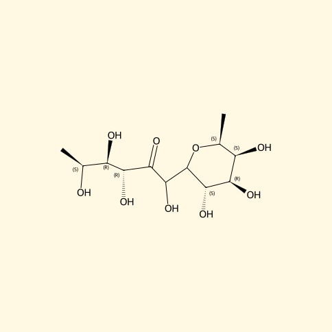 C[C@H](O)[C@@H](O)[C@@H](O)C(=O)C(O)C1O[C@@H](C)[C@@H](O)[C@@H](O)[C@@H]1O